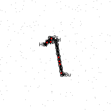 CCCN(OCCNC(=O)OCCOCCOCCOCCOCCOCCOCCOCCOCCOCCOCCC(=O)OC(C)(C)C)C(=O)C1=Cc2ccc(-c3cn[nH]c3)cc2N=C(N)C1